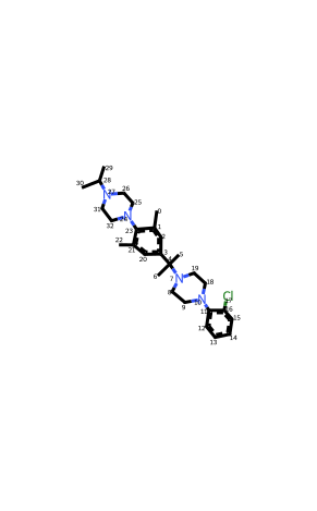 Cc1cc(C(C)(C)N2CCN(c3ccccc3Cl)CC2)cc(C)c1N1CCN(C(C)C)CC1